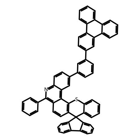 c1ccc(-c2nc3ccc(-c4cccc(-c5ccc6c7ccccc7c7ccccc7c6c5)c4)cc3c3c4c(ccc23)C2(c3ccccc3S4)c3ccccc3-c3ccccc32)cc1